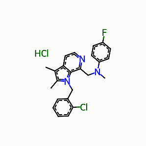 Cc1c(C)n(Cc2ccccc2Cl)c2c(CN(C)c3ccc(F)cc3)nccc12.Cl